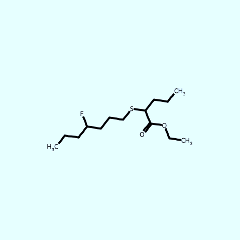 CCCC(F)CCCSC(CCC)C(=O)OCC